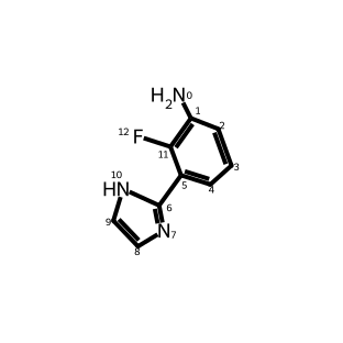 Nc1cccc(-c2ncc[nH]2)c1F